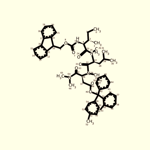 CC[C@H](C)[C@H](NC(=O)OCC1c2ccccc2-c2ccccc21)C(=O)N(C)[C@@H](CC(C)C)C(=O)N(C)[C@@H](CC(=O)OC(c1ccccc1)(c1ccc(C)cc1)c1ccccc1Cl)C(=O)N(C)C